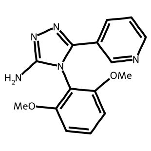 COc1cccc(OC)c1-n1c(N)nnc1-c1cccnc1